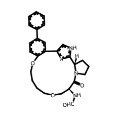 O=CN[C@H]1COCCCCOc2ccc(-c3ccccc3)cc2-c2c[nH]c(n2)[C@@H]2CCCN2C1=O